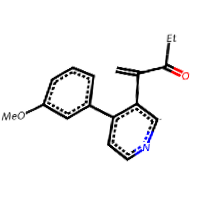 C=C(C(=O)CC)c1[c]nccc1-c1cccc(OC)c1